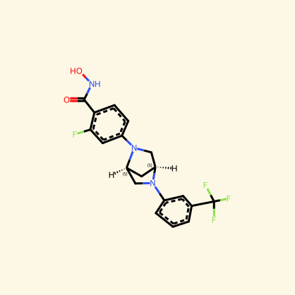 O=C(NO)c1ccc(N2C[C@@H]3C[C@H]2CN3c2cccc(C(F)(F)F)c2)cc1F